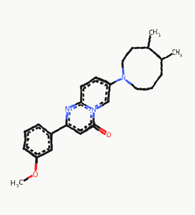 COc1cccc(-c2cc(=O)n3cc(N4CCCC(C)C(C)CC4)ccc3n2)c1